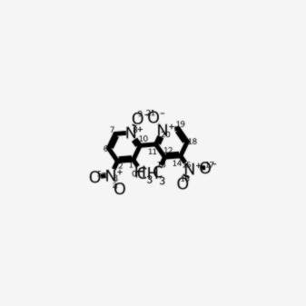 Cc1c([N+](=O)[O-])cc[n+]([O-])c1-c1c(C)c([N+](=O)[O-])cc[n+]1[O-]